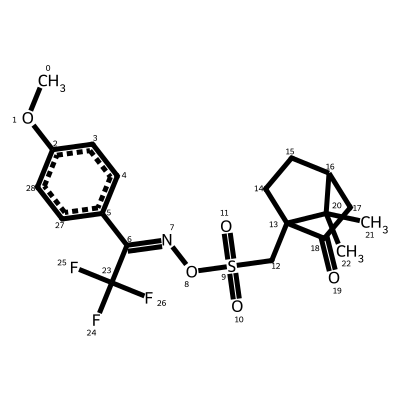 COc1ccc(C(=NOS(=O)(=O)CC23CCC(CC2=O)C3(C)C)C(F)(F)F)cc1